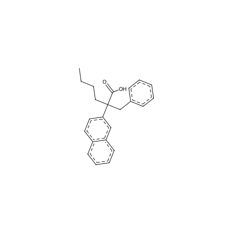 CCCCC(Cc1ccccc1)(C(=O)O)c1ccc2ccccc2c1